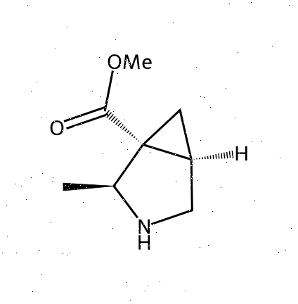 COC(=O)[C@]12C[C@H]1CN[C@H]2C